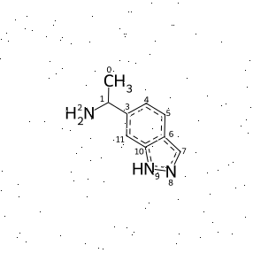 CC(N)c1ccc2cn[nH]c2c1